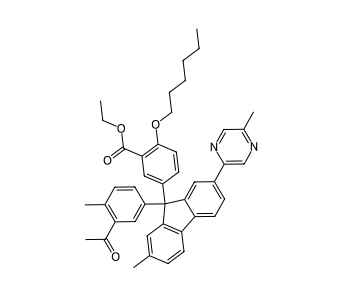 CCCCCCOc1ccc(C2(c3ccc(C)c(C(C)=O)c3)c3cc(C)ccc3-c3ccc(-c4cnc(C)cn4)cc32)cc1C(=O)OCC